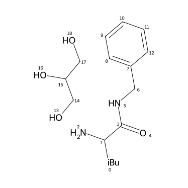 CCC(C)C(N)C(=O)NCc1ccccc1.OCC(O)CO